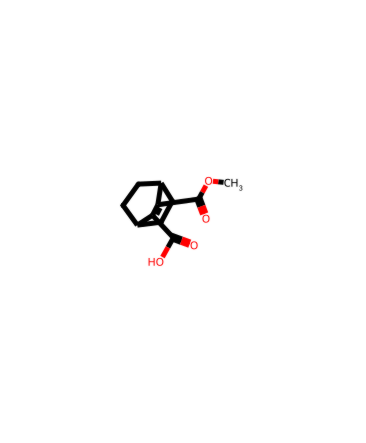 COC(=O)C1=C(C(=O)O)C2CCC1CC2